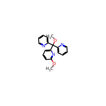 COc1cccc(C(OC)(c2ccccn2)c2ccccn2)n1